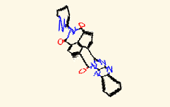 O=C1c2ccc3c(=O)n4c5nc6ccccc6nc5nc4c4ccc(c2c34)C(=O)N1c1ccccn1